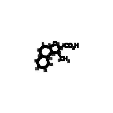 Cc1c(C(=O)O)oc2ccc3ccccc3c12